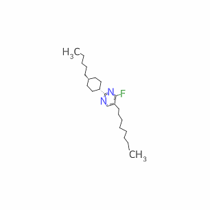 CCCCCCCCCc1cnc([C@H]2CC[C@H](CCCCC)CC2)nc1F